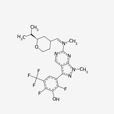 CC(C)[C@H]1CC(/C=[N+](/C)c2ncc3c(-c4cc(C(F)(F)F)c(F)c(O)c4F)nn(C)c3n2)CCO1